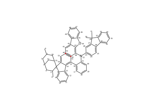 CC1CC2CC(C)C3(c4ccccc4-c4c(-c5ccccc5N(c5ccc6c(c5)C(C)(C)c5ccccc5-6)c5cccc6c5oc5ccccc56)cccc43)C(C1)C2